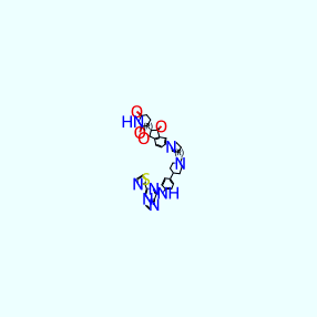 O=C1CC[C@H](C2C(=O)c3ccc(N4CC[C@H](CN5CCC(c6ccc(Nc7nc(-c8nccs8)cn8ccnc78)cc6)CC5)C4)cc3C2=O)C(=O)N1